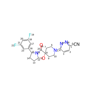 N#Cc1ccc(N2CCC3(CC2)OC2CCC(c4cc(F)cc(F)c4)N2C3=O)nn1